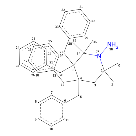 CC1(C)CC(Cc2ccccc2)(Cc2ccccc2)C(Cc2ccccc2)(Cc2ccccc2)C(C)(C)N1N